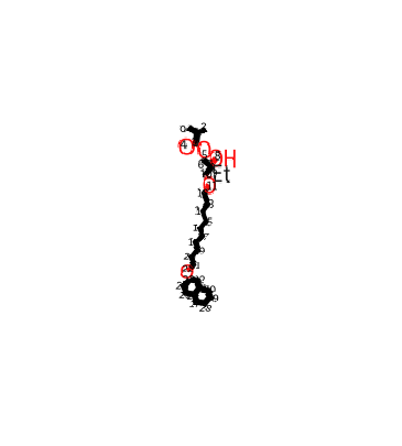 C=C(C)C(=O)OCC(O)(CC)COCCCCCCCCCCOc1ccc2ccccc2c1